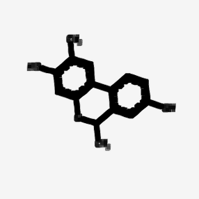 Cc1cc2c(cc1O)OC(C)c1cc(O)ccc1-2